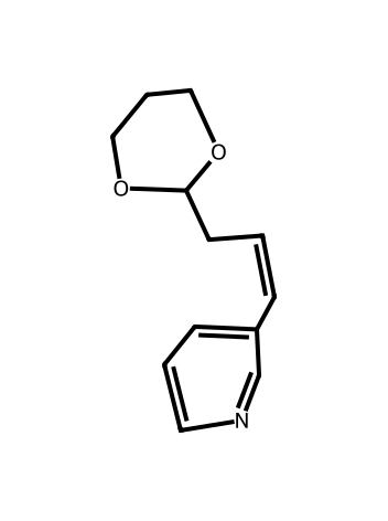 C(=C/c1cccnc1)/CC1OCCCO1